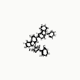 C1=CC(n2c3ccccc3c3cc(-c4ccc5c6ccccc6n(-c6nc(-c7ccccc7)n[nH]6)c5c4)ccc32)=CCC1